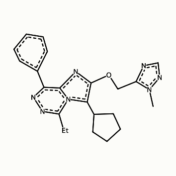 CCc1nnc(-c2ccccc2)c2nc(OCc3ncnn3C)c(C3CCCC3)n12